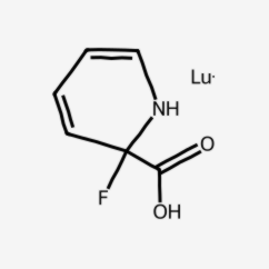 O=C(O)C1(F)C=CC=CN1.[Lu]